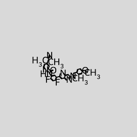 COc1ccc(CN(C)c2cc3ncc(-c4cc(NC(=O)c5cc(C(C)(C)C#N)ccn5)c(F)cc4F)cc3cn2)cc1